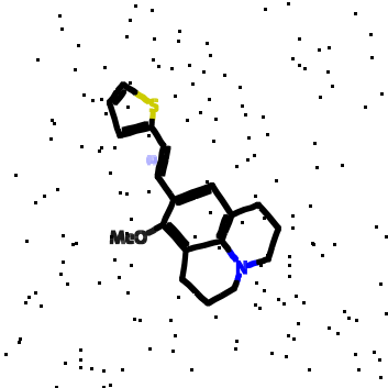 COc1c(/C=C/c2cccs2)cc2c3c1CCCN3CCC2